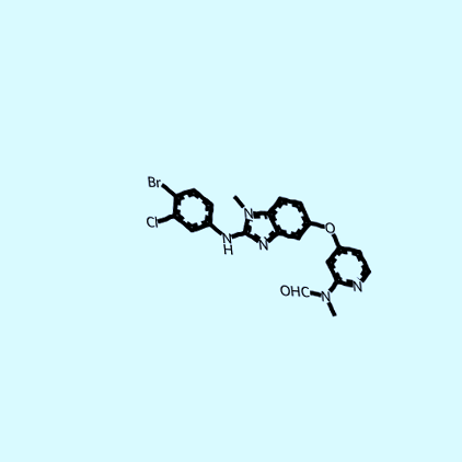 CN(C=O)c1cc(Oc2ccc3c(c2)nc(Nc2ccc(Br)c(Cl)c2)n3C)ccn1